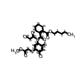 CCCCCOC(=O)C1=C(C(=O)N(C(=O)CCl)c2cc(SCC(=O)OC)c(Cl)cc2F)CCCC1